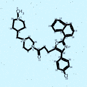 CN1CCC(CN2CCN(C(=O)CCc3oc(-c4cccc5ccccc45)nc3-c3ccc(Cl)cc3)CC2)CC1